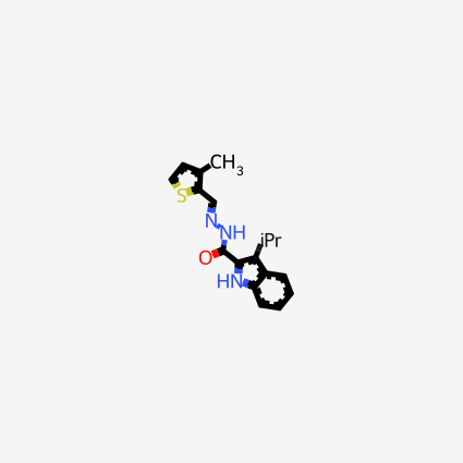 Cc1ccsc1C=NNC(=O)c1[nH]c2ccccc2c1C(C)C